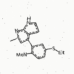 CCSc1ccc(NC)c(-c2cc(C)nc3[nH]ccc23)c1